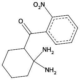 NC1(N)CCCCC1C(=O)c1ccccc1[N+](=O)[O-]